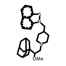 COC(CN1CCC(CN2Sc3cccc4cccc2c34)CC1)C12CC3CC(CC(C3)C1)C2